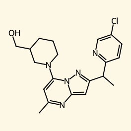 Cc1cc(N2CCCC(CO)C2)n2nc(C(C)c3ccc(Cl)cn3)cc2n1